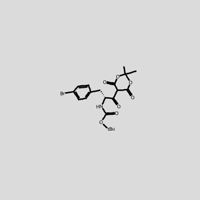 CC(C)(C)OC(=O)N[C@H](Cc1ccc(Br)cc1)C(=O)C1C(=O)OC(C)(C)OC1=O